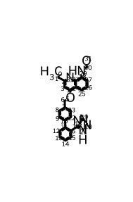 CCc1cc(OCc2ccc(-c3ccccc3-c3nnn[nH]3)cc2)c2cccc(NC=O)c2n1